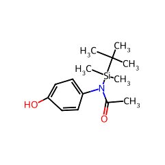 CC(=O)N(c1ccc(O)cc1)[Si](C)(C)C(C)(C)C